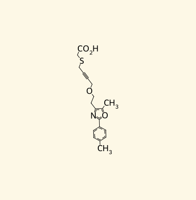 Cc1ccc(-c2nc(CCOCC#CCSCC(=O)O)c(C)o2)cc1